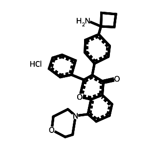 Cl.NC1(c2ccc(-c3c(-c4ccccc4)oc4c(N5CCOCC5)cccc4c3=O)cc2)CCC1